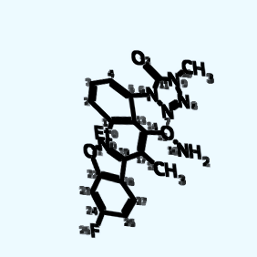 CCc1cccc(-n2nnn(C)c2=O)c1/C(ON)=C(/C)c1noc2cc(F)ccc12